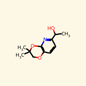 CC(O)c1ccc2c(n1)OC(C)(C)CO2